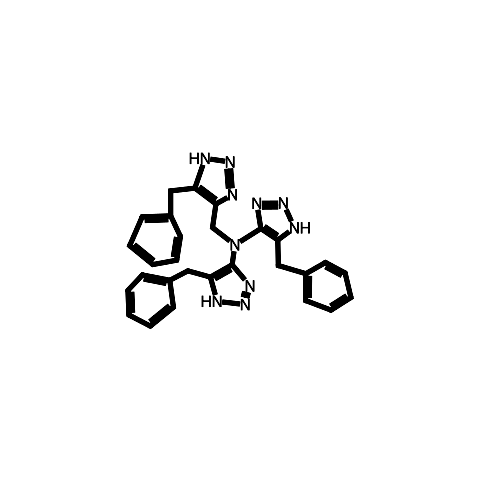 c1ccc(Cc2[nH]nnc2CN(c2nn[nH]c2Cc2ccccc2)c2nn[nH]c2Cc2ccccc2)cc1